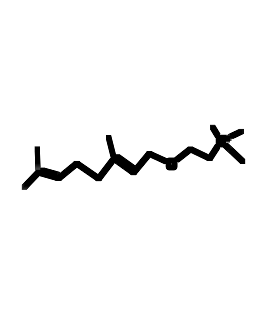 CC(C)=CCC/C(C)=C/COCC[N+](C)(C)C